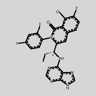 CC[C@@H](Nc1ncnc2[nH]cnc12)c1cc2ccc(F)c(Cl)c2c(=O)n1-c1ccc(F)cc1F